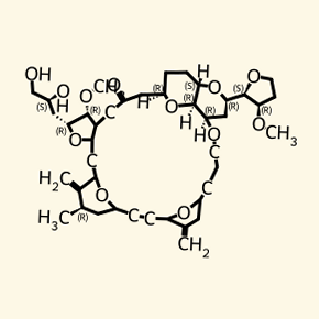 C=C1CC2CCCO[C@@H]3C[C@H]([C@H]4OCC[C@H]4OC)O[C@H]4CC[C@H](CC(=O)CC5C(CC6OC(CCC1O2)C[C@@H](C)C6=C)O[C@H](C[C@H](O)CO)[C@@H]5OC)O[C@@H]43